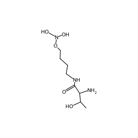 CC(O)C(N)C(=O)NCCCCON(O)O